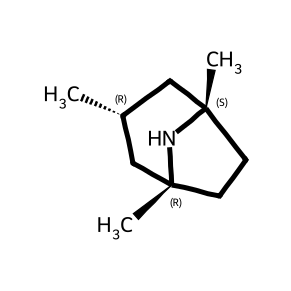 C[C@@H]1C[C@]2(C)CC[C@](C)(C1)N2